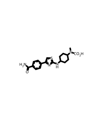 CN(C(=O)O)C1CCC(Nc2nc(-c3ccc(C(N)=O)cc3)cs2)CC1